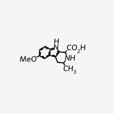 COc1ccc2[nH]c3c(c2c1)CC(C)NC3C(=O)O